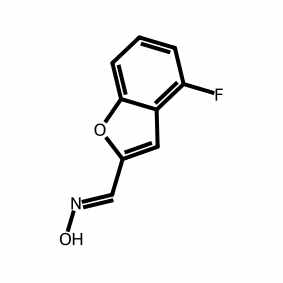 ON=Cc1cc2c(F)cccc2o1